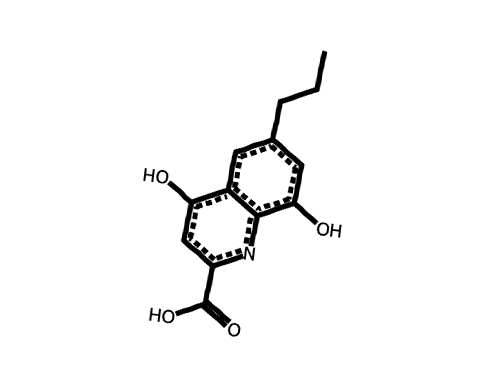 CCCc1cc(O)c2nc(C(=O)O)cc(O)c2c1